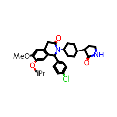 COc1cc2c(cc1OC(C)C)C(c1ccc(Cl)cc1)N([C@H]1CC[C@H](C3CCNC3=O)CC1)C(=O)C2